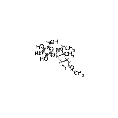 CCOc1ccc(Cc2c(O[C@@H]3O[C@H](CO)[C@@H](O)[C@H](O)[C@H]3O)nn(CC)c2C)cc1